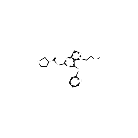 CCOCCn1ncc2nc(NC(=O)[C@H]3CCNC3)nc(Nc3ccccn3)c21